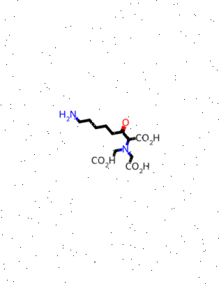 NCCCCCC(=O)C(C(=O)O)N(CC(=O)O)CC(=O)O